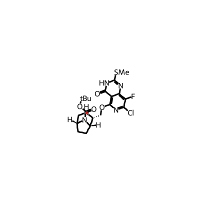 CSc1nc2c(F)c(Cl)nc(OC[C@H]3NC[C@H]4CC[C@@H]3N4C(=O)OC(C)(C)C)c2c(=O)[nH]1